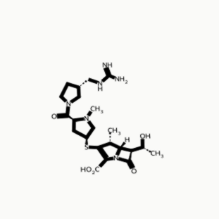 C[C@@H](O)[C@H]1C(=O)N2C(C(=O)O)=C(S[C@H]3C[C@@H](C(=O)N4CC[C@H](CNC(=N)N)C4)N(C)C3)[C@H](C)[C@H]12